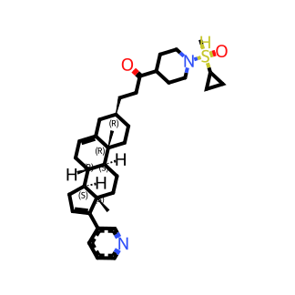 C[C@]12CC[C@H](CCC(=O)C3CCN([SH](C)(=O)C4CC4)CC3)CC1=CC[C@@H]1[C@@H]2CC[C@]2(C)C(c3cccnc3)=CC[C@@H]12